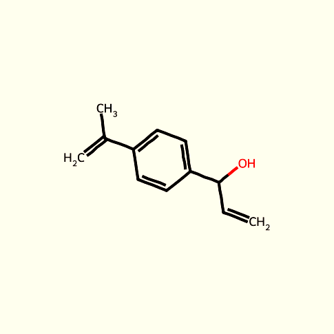 C=CC(O)c1ccc(C(=C)C)cc1